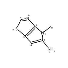 Cn1c(N)cc2scnc21